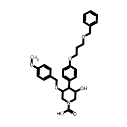 COc1ccc(COC2CN(C(=O)O)CC(O)C2c2ccc(OCCCOCc3ccccc3)cc2)cc1